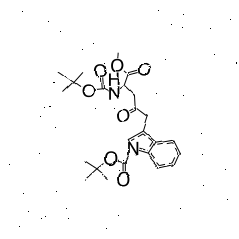 COC(=O)C(CC(=O)Cc1cn(C(=O)OC(C)(C)C)c2ccccc12)NC(=O)OC(C)(C)C